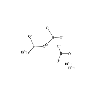 [Bi+3].[Bi+3].[Bi+3].[O-]B([O-])[O-].[O-]B([O-])[O-].[O-]B([O-])[O-]